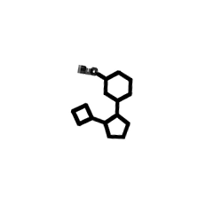 CC(C)COC1CCCC(C2CCC[C]2C2CCC2)C1